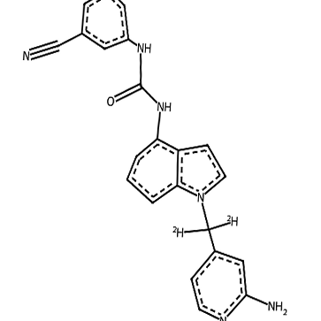 [2H]C([2H])(c1ccnc(N)c1)n1ccc2c(NC(=O)Nc3cccc(C#N)c3)cccc21